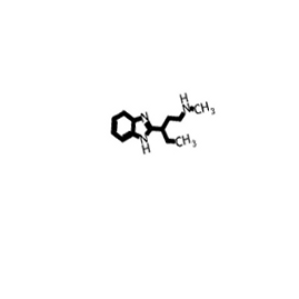 CCC(CCNC)C1=NC2CC=CC=C2N1